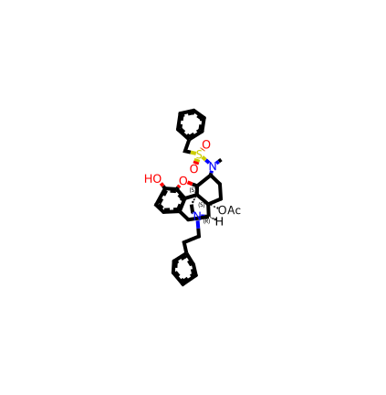 CC(=O)O[C@@]12CCC(N(C)S(=O)(=O)Cc3ccccc3)C3Oc4c(O)ccc5c4[C@@]31CCN(CCc1ccccc1)[C@@H]2C5